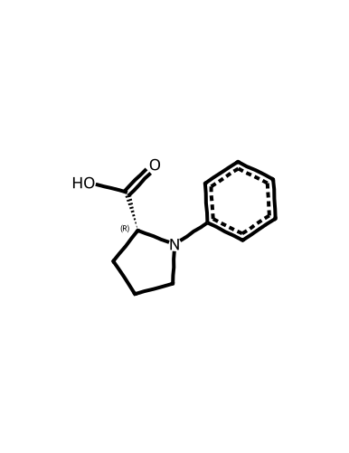 O=C(O)[C@H]1CCCN1c1ccccc1